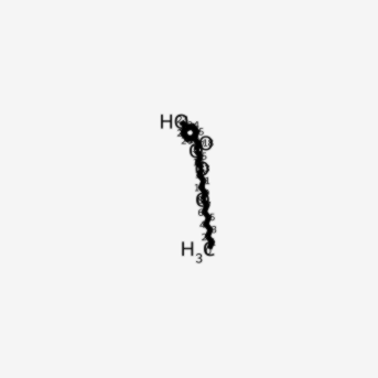 CCCCCCCCOCCCCOCCOC(=O)c1ccc(O)cc1